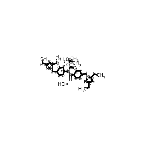 CCc1cc(CC)n(CC2CCC(NN(C(=O)OC(C)(C)C)C3CCC(Cn4nc(CC)cc4CC)CC3)CC2)n1.Cl